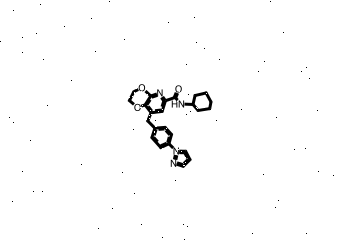 O=C(NC1CCCCC1)c1cc(Cc2ccc(-n3cccn3)cc2)c2c(n1)OCCO2